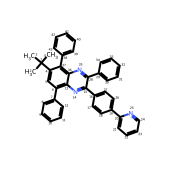 CC(C)(C)c1cc(-c2ccccc2)c2nc(-c3ccc(-c4ccccn4)cc3)c(-c3ccccc3)nc2c1-c1ccccc1